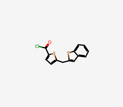 O=C(Cl)c1ccc(Cc2cc3ccccc3s2)s1